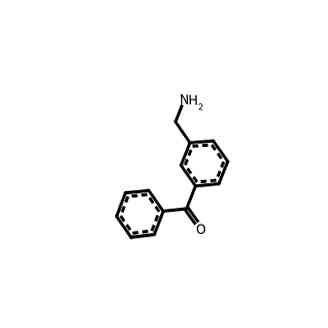 NCc1cccc(C(=O)c2ccccc2)c1